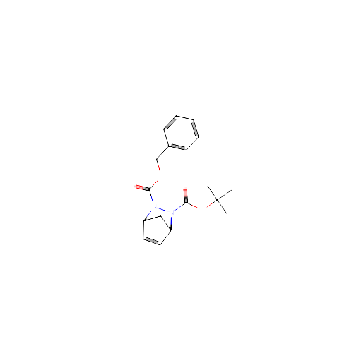 CC(C)(C)OC(=O)N1C2C=CC(C2)N1C(=O)OCc1ccccc1